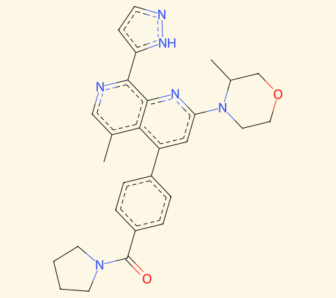 Cc1cnc(-c2ccn[nH]2)c2nc(N3CCOCC3C)cc(-c3ccc(C(=O)N4CCCC4)cc3)c12